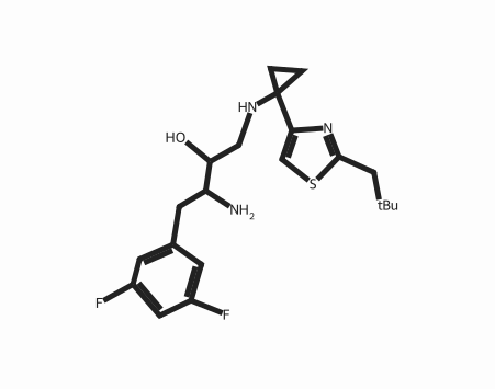 CC(C)(C)Cc1nc(C2(NCC(O)C(N)Cc3cc(F)cc(F)c3)CC2)cs1